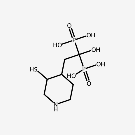 O=P(O)(O)C(O)(CC1CCNCC1S)P(=O)(O)O